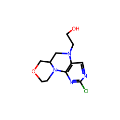 OCCN1CC2COCCN2c2nc(Cl)ncc21